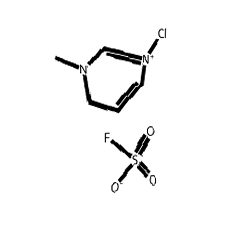 CN1C=[N+](Cl)C=CC1.O=S(=O)([O-])F